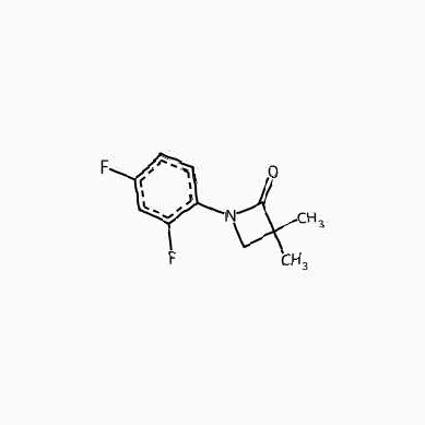 CC1(C)CN(c2ccc(F)cc2F)C1=O